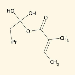 CC=C(C)C(=O)OC(O)(O)CC(C)C